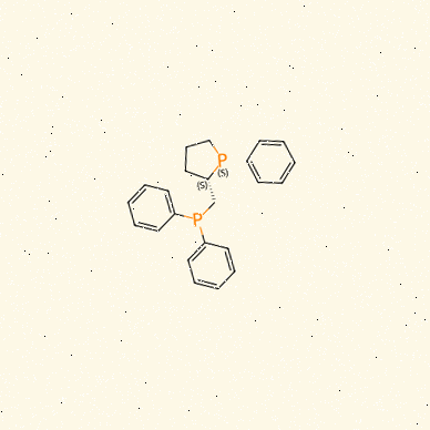 c1ccc(P(C[C@@H]2CCC[P@@]2c2ccccc2)c2ccccc2)cc1